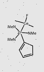 C[NH][Zr]([NH]C)([NH]C)([C]1=CC=CC1)[Ge]([CH3])([CH3])[F]